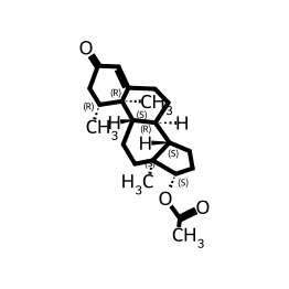 CC(=O)O[C@H]1CC[C@H]2[C@@H]3CCC4=CC(=O)C[C@@H](C)[C@]4(C)[C@H]3CC[C@]12C